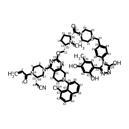 C=CC(=O)N1CCN(c2nc(OC[C@@H]3CC[C@H](C(=O)N4CCN(Cc5ccc(-n6c(O)nnc6-c6cc(C)c(O)cc6O)cc5)CC4)N3C)nc3c2CCN(c2cccc4cccc(Cl)c24)C3)C[C@@H]1CC#N